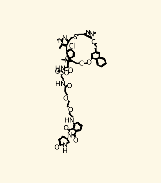 Cc1c2c(nn1C)CSCc1cc(n(C)n1)CSc1cc(c3ccccc3c1)OCCCc1c(C(=O)NS(=O)(=O)CCNC(=O)CCOCCOCCNc3cccc4c3C(=O)N(C3CCC(=O)NC3)C4=O)n(C)c3c-2c(Cl)ccc13